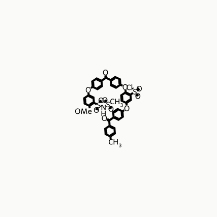 COc1ccc(Oc2ccc(C(=O)c3ccc(Oc4ccc(Oc5ccc(C(=O)c6ccc(C)cc6)cc5)cc4S(=O)(=O)Cl)cc3)cc2)cc1S(=O)(=O)NS(C)(=O)=O